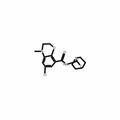 CN1CCOc2c(C(=O)NC3CC4CCN3CC4)cc(Cl)cc21